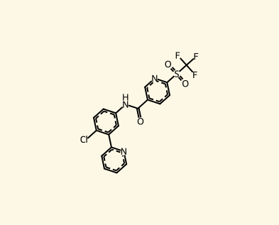 O=C(Nc1ccc(Cl)c(-c2ccccn2)c1)c1ccc(S(=O)(=O)C(F)(F)F)nc1